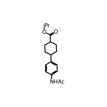 CC(=O)Nc1ccc(C2CCC(C(=O)OC(C)C)CC2)cc1